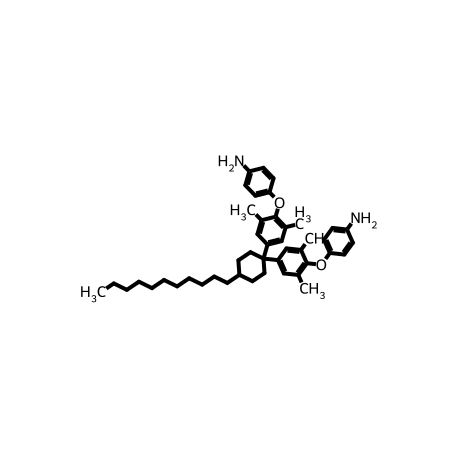 CCCCCCCCCCCC1CCC(c2cc(C)c(Oc3ccc(N)cc3)c(C)c2)(c2cc(C)c(Oc3ccc(N)cc3)c(C)c2)CC1